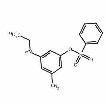 Cc1cc(NCC(=O)O)cc(OS(=O)(=O)c2ccccc2)c1